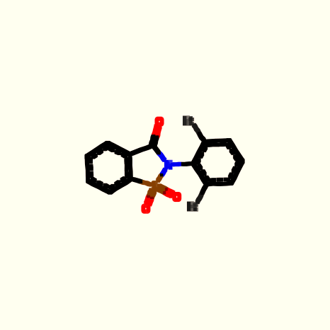 CCc1cccc(CC)c1N1C(=O)c2ccccc2S1(=O)=O